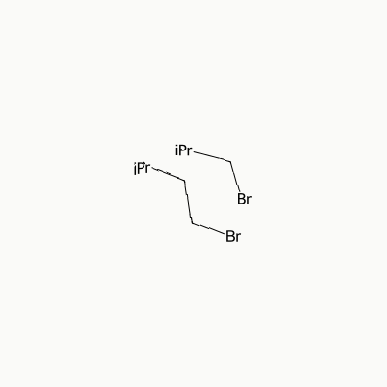 CC(C)CBr.CC(C)CCBr